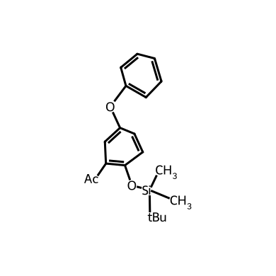 CC(=O)c1cc(Oc2ccccc2)ccc1O[Si](C)(C)C(C)(C)C